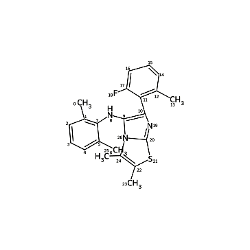 Cc1cccc(C)c1Nc1c(-c2c(C)cccc2F)nc2sc(C)c(C)n12